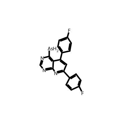 Fc1ccc(-c2cc(-c3ccc(F)cc3)c3c([AsH2])ncnc3n2)cc1